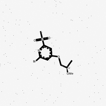 CO[C@H](C)COc1cc(Br)nc(S(C)(=O)=O)c1